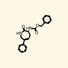 O=C(N[C@@H]1CC=C(c2ccccc2)CNC1=O)OCc1ccccc1